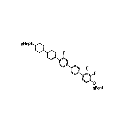 CCCCCCCC1CCC(C2CC=C(c3ccc(-c4ccc(-c5ccc(OCCCCC)c(F)c5F)cc4)cc3F)CC2)CC1